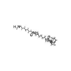 NCCCCCCCC(=O)NCCCCCCCC(=O)NC12CC3CC(CC(C3)C1)C2